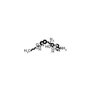 CCCCCOC(=O)Nc1ccc2ccc(CC[C@@]3(C)C[C@@H](N4CCc5c(N)ncnc54)[C@H](O)[C@@H]3O)cc2n1